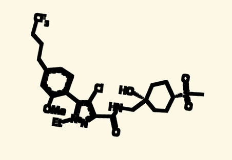 CCn1nc(C(=O)NC[C@]2(O)CC[C@@H](S(C)(=O)=O)CC2)c(Cl)c1-c1ccc(CCCC(F)(F)F)cc1OC